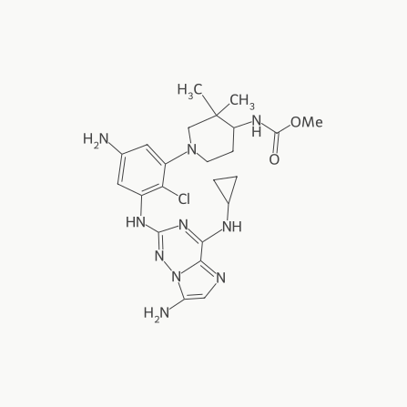 COC(=O)NC1CCN(c2cc(N)cc(Nc3nc(NC4CC4)c4ncc(N)n4n3)c2Cl)CC1(C)C